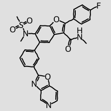 CNC(=O)c1c(-c2ccc(F)cc2)oc2cc(N(C)S(C)(=O)=O)c(-c3cccc(-c4nc5cnccc5o4)c3)cc12